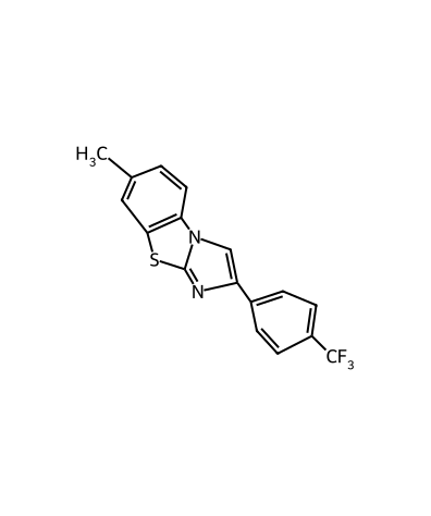 Cc1ccc2c(c1)sc1nc(-c3ccc(C(F)(F)F)cc3)cn12